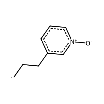 [CH2]CCc1ccc[n+]([O-])c1